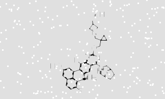 C#Cc1c(F)ccc2cc(O)cc(-c3c(C)cc4c(N5CC6CCC(C5)N6)nc(OCC5(CN6CC(OC)C6)CC5)nc4c3F)c12